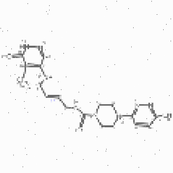 C[C@@H](/C=C/CNC(=O)N1CCN(c2ccc(C#N)nn2)CC1)Nc1cn[nH]c(=O)c1C(F)(F)F